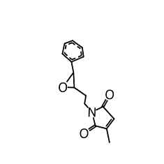 CC1=CC(=O)N(CCC2OC2c2ccccc2)C1=O